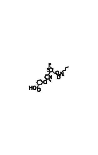 CCCCN(C)C(=O)OCc1cc(F)sc1-c1ccc(O[C@H]2CCC[C@H](C(=O)O)C2)c(C)n1